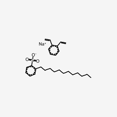 C=Cc1ccccc1C=C.CCCCCCCCCCCCc1ccccc1S(=O)(=O)[O-].[Na+]